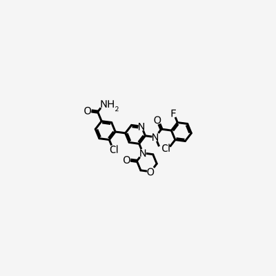 CN(C(=O)c1c(F)cccc1Cl)c1ncc(-c2cc(C(N)=O)ccc2Cl)cc1N1CCOCC1=O